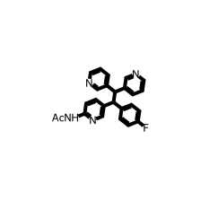 CC(=O)Nc1ccc(C(c2ccc(F)cc2)C(c2cccnc2)c2cccnc2)cn1